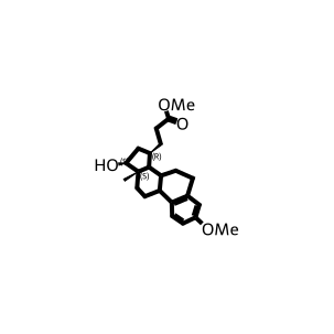 COC(=O)CC[C@@H]1C[C@H](O)[C@@]2(C)CCC3c4ccc(OC)cc4CCC3C12